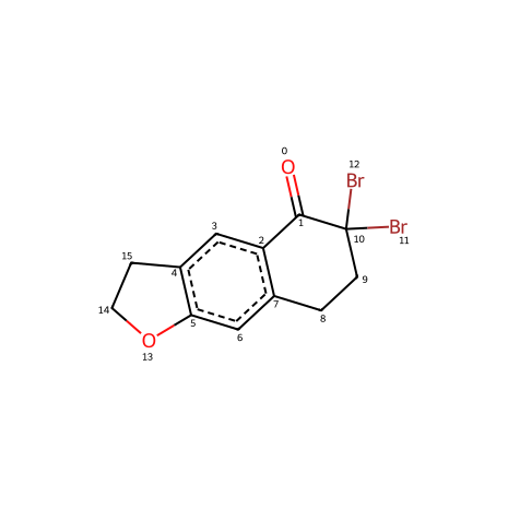 O=C1c2cc3c(cc2CCC1(Br)Br)OCC3